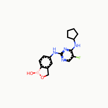 OB1OCc2cc(Nc3ncc(F)c(NC4CCCC4)n3)ccc21